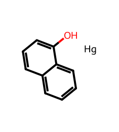 Oc1cccc2ccccc12.[Hg]